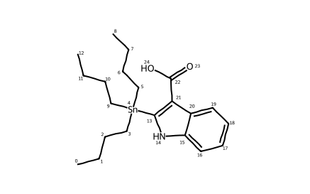 CCC[CH2][Sn]([CH2]CCC)([CH2]CCC)[c]1[nH]c2ccccc2c1C(=O)O